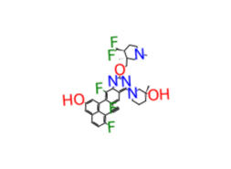 C#Cc1c(F)ccc2cc(O)cc(-c3c(F)cc4c(N5CCC[C@@](C)(O)C5)nc(OC[C@]5(C)CN(C)CC[C@@H]5C(F)F)nc4c3F)c12